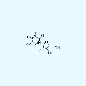 O=c1[nH]c(=O)n([C@@H]2O[C@H](CO)[C@@H](O)[C@@H]2F)cc1Cl